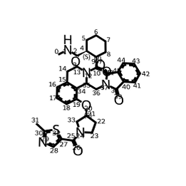 CNC(=O)[C@H]1CCCC[C@H]1C(=O)N1CCc2cccc(O[C@H]3CCN(C(=O)c4cnc(C)s4)C3)c2C1CN1C(=O)c2ccccc2C1=O